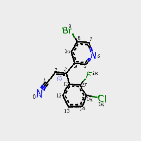 N#C/C=C(/c1cncc(Br)c1)c1cccc(Cl)c1F